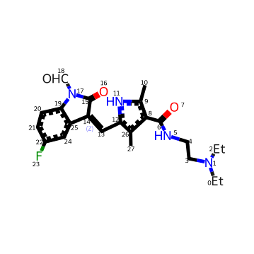 CCN(CC)CCNC(=O)c1c(C)[nH]c(/C=C2\C(=O)N(C=O)c3ccc(F)cc32)c1C